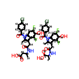 Cc1c(CC(=O)NC(C)C(=O)O)c2c(F)c(O)c(F)cc2n1C(=O)c1ccc(Cl)cc1.Cc1c(CC(=O)NC(C)CC(=O)O)c2c(F)c(O)c(F)cc2n1C(=O)c1ccc(Cl)cc1